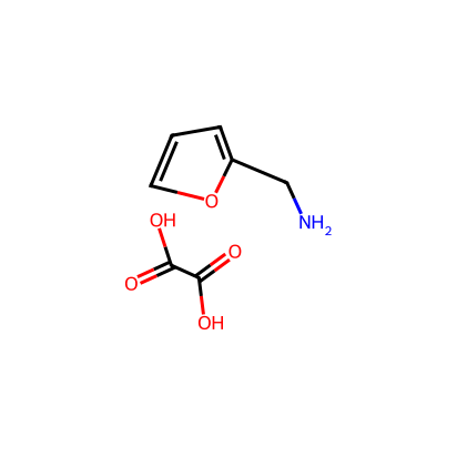 NCc1ccco1.O=C(O)C(=O)O